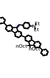 CCCCCCCCC1(CCCCCCCC)c2cc(-c3ccccc3)ccc2-c2ccc(-c3ccc4c(c3)/C(=C\c3ccc(N(CC)CC)cc3)c3cc(-c5ccccc5)ccc3-4)cc21